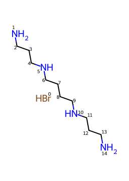 Br.NCCCNCCCCNCCCN